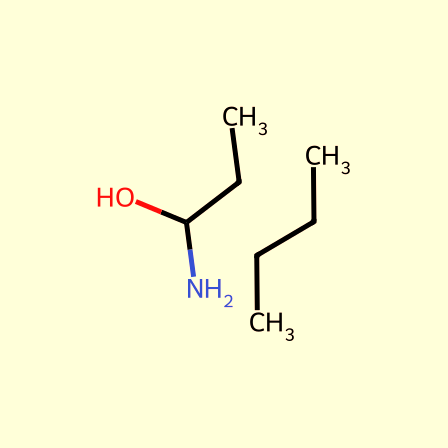 CCC(N)O.CCCC